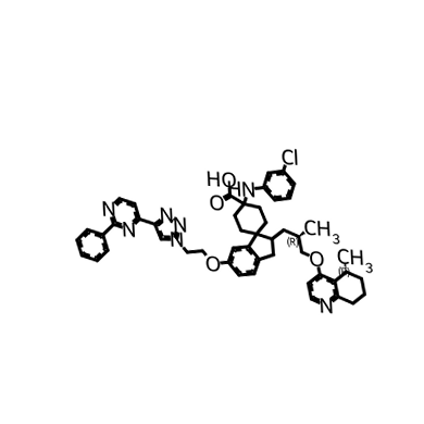 C[C@@H](COc1ccnc2c1[C@H](C)CCC2)CC1Cc2ccc(OCCn3cc(-c4ccnc(-c5ccccc5)n4)nn3)cc2C12CCC(Nc1cccc(Cl)c1)(C(=O)O)CC2